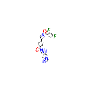 O=C(NCc1ccn2ccnc2c1)c1ccc(C2CCN(C(=O)c3ccc(F)cc3F)C2)cc1